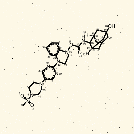 CS(=O)(=O)N1CCN(c2cnc(N3CCN(OC(=O)NC4[C@@H]5CC6C[C@H]4CC(O)(C6)C5)c4ccccc43)nc2)CC1